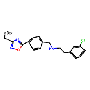 CCCCCCCCCCCc1noc(-c2ccc(CNCCc3cccc(Cl)c3)cc2)n1